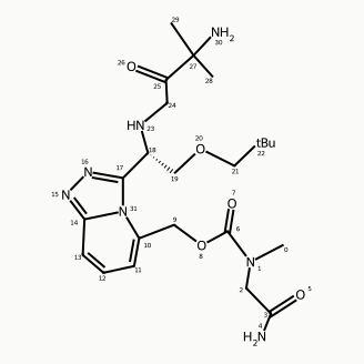 CN(CC(N)=O)C(=O)OCc1cccc2nnc([C@@H](COCC(C)(C)C)NCC(=O)C(C)(C)N)n12